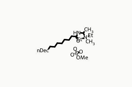 CCCCCCCCCCCCCCCCCC(=O)NC(C)[N+](C)(CC)CC.COS(=O)(=O)[O-]